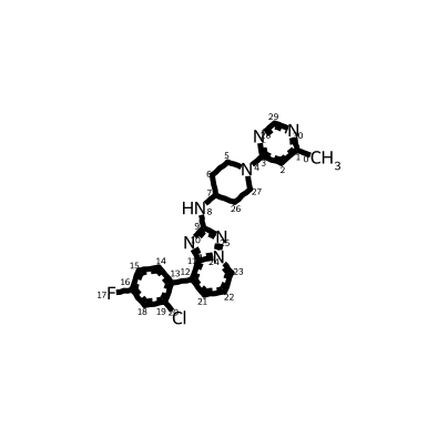 Cc1cc(N2CCC(Nc3nc4c(-c5ccc(F)cc5Cl)cccn4n3)CC2)ncn1